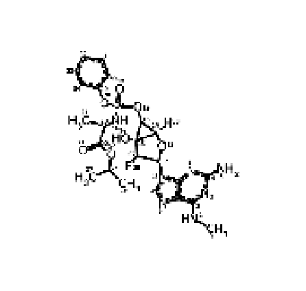 CNc1nc(N)nc2c1ncn2[C@@H]1O[C@@H]2C(O[P@@](=O)(N[C@H](C)C(=O)OC(C)C)Oc3ccccc3)[C@]2(O)[C@@H]1F